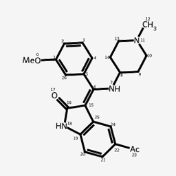 COc1cccc(C(NC2CCN(C)CC2)=C2C(=O)Nc3ccc(C(C)=O)cc32)c1